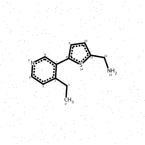 CCc1ccncc1-c1ccc(CN)s1